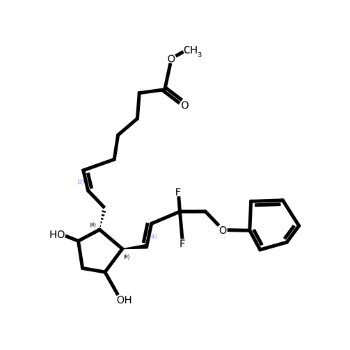 COC(=O)CCCC/C=C\C[C@H]1C(O)CC(O)[C@@H]1/C=C/C(F)(F)COc1ccccc1